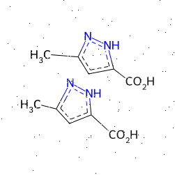 Cc1cc(C(=O)O)[nH]n1.Cc1cc(C(=O)O)[nH]n1